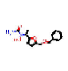 CC(c1ccc(COCc2ccccc2)o1)N(O)C(N)=O